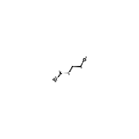 COCCC[O]